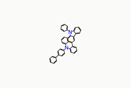 c1ccc(-c2ccc(N(c3ccccc3)c3ccccc3-c3ccc4c(c3)c3ccccc3n4-c3ccccc3)cc2)cc1